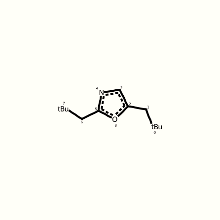 CC(C)(C)Cc1cnc(CC(C)(C)C)o1